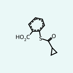 O=C(O)c1ccccc1SC(=O)C1CC1